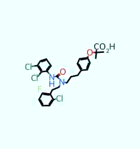 CC(C)(Oc1ccc(CCCN(CCc2c(F)cccc2Cl)C(=O)Nc2cccc(Cl)c2Cl)cc1)C(=O)O